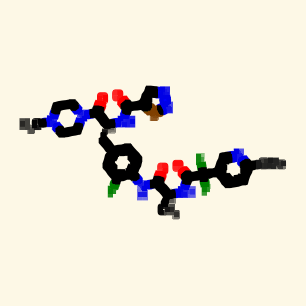 COc1ccc(C(F)(F)C(=O)N[C@@H](C)C(=O)Nc2ccc(C[C@@H](NC(=O)c3cnns3)C(=O)N3CCN(C)CC3)cc2F)cn1